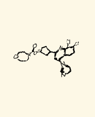 O=C(O[C@H]1CCC(c2cc(-n3ccnc3)c3ccc(Cl)c(Cl)c3n2)C1)N1CCOCC1